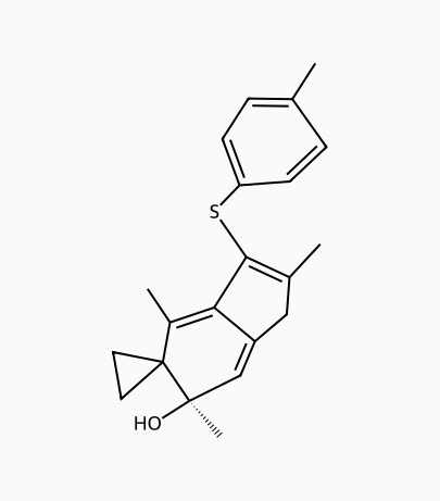 CC1=C(Sc2ccc(C)cc2)C2=C(C)C3(CC3)[C@](C)(O)C=C2C1